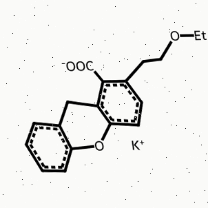 CCOCCc1ccc2c(c1C(=O)[O-])Cc1ccccc1O2.[K+]